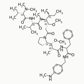 CC[C@H](C)[C@@H]([C@@H](CC(=O)N1CCC[C@H]1[C@H](OC)[C@@H](C)C(=O)NC(Cc1ccccc1)C(=O)NCc1ccc(NC)cc1)OC)N(C)C(=O)[C@@H](NC(=O)[C@H](C(C)C)N(C)C)C(C)C